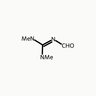 CNC(=NC=O)NC